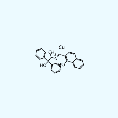 C[C@@H](N=Cc1ccc2ccccc2c1O)C(O)(c1ccccc1)c1ccccc1.[Cu]